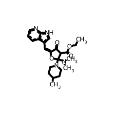 CCOC(=O)C1C(=O)C(=Cc2c[nH]c3ncccc23)OC1(N(C)C)N1CCC(C)CC1